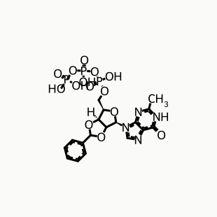 Cc1nc2c(ncn2[C@@H]2O[C@H](COP(=O)(O)OP(=O)(O)OP(=O)(O)O)[C@@H]3OC(c4ccccc4)OC32)c(=O)[nH]1